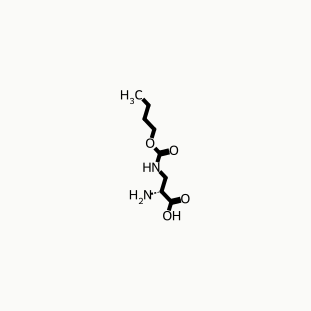 CCCCOC(=O)NC[C@@H](N)C(=O)O